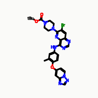 Cc1cc(Nc2ncnc3cc(Br)c(N4CCN(C(=O)OC(C)(C)C)CC4)nc23)ccc1Oc1ccn2ncnc2c1